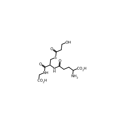 NC(CCC(=O)NC(CSC(=O)CCO)C(=O)NCC(=O)O)C(=O)O